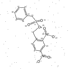 O=[N+]([O-])c1ccc(COS(=O)(=O)Cc2ccccc2)c([N+](=O)[O-])c1